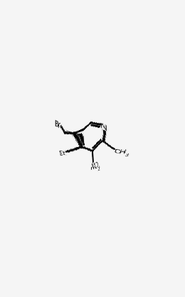 CCc1c(Br)cnc(C)c1[N+](=O)[O-]